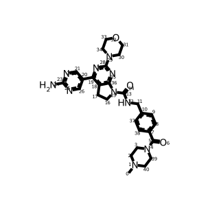 CN1CCN(C(=O)c2ccc(CNC(=O)N3CCc4c(-c5cnc(N)nc5)nc(N5CCOCC5)nc43)cc2)CC1